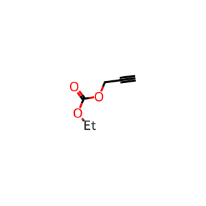 C#CCOC(=O)OC[CH2]